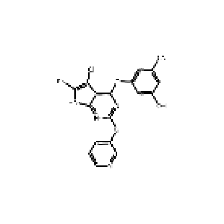 CCc1[nH]c2nc(Oc3cccnc3)nc(Oc3cc(O)cc(C#N)c3)c2c1Cl